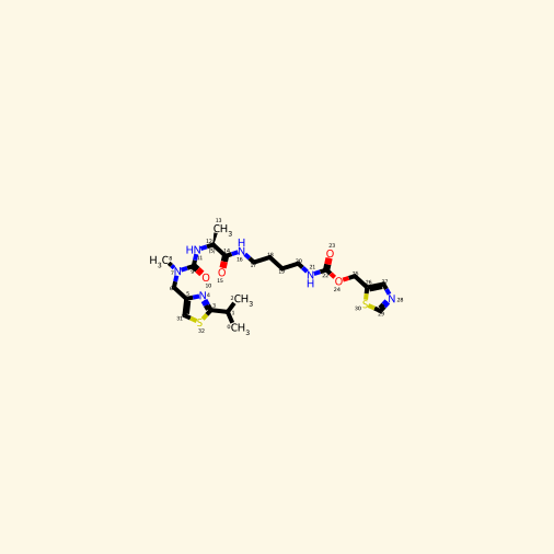 CC(C)c1nc(CN(C)C(=O)N[C@@H](C)C(=O)NCCCCNC(=O)OCc2cncs2)cs1